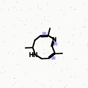 CC1=C\CNC(C)C\C=C(C)/N=C/1